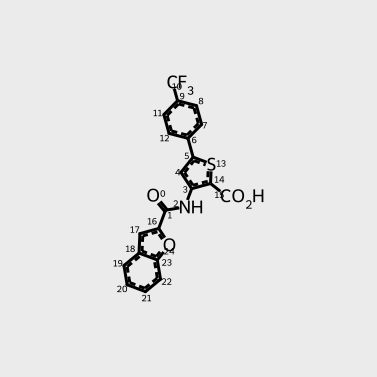 O=C(Nc1cc(-c2ccc(C(F)(F)F)cc2)sc1C(=O)O)c1cc2ccccc2o1